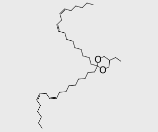 CCCCC/C=C\C/C=C\CCCCCCCCC1(CCCCCCCC/C=C\C/C=C\CCCCC)OCC(CC)CO1